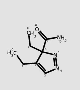 CCC1=CN=NC1(CC)C(N)=O